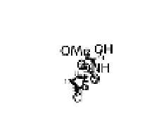 COC(=O)[C@H](CO)NS(=O)(=O)c1ccc(Cl)s1